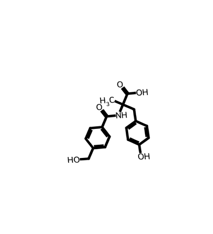 CC(Cc1ccc(O)cc1)(NC(=O)c1ccc(CO)cc1)C(=O)O